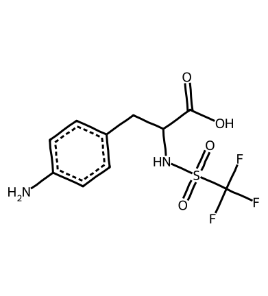 Nc1ccc(CC(NS(=O)(=O)C(F)(F)F)C(=O)O)cc1